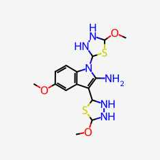 COc1ccc2c(c1)c(C1NNC(OC)S1)c(N)n2C1NNC(OC)S1